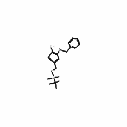 CC(C)(C)[Si](C)(C)OCc1ccc(O)c(OCc2ccccc2)c1